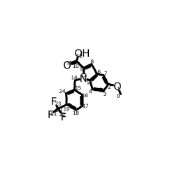 COc1ccc2c(c1)cc(C(=O)O)n2Cc1cccc(C(F)(F)F)c1